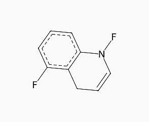 Fc1cccc2c1CC=CN2F